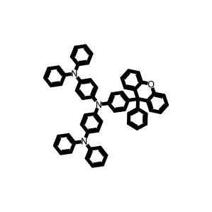 c1ccc(N(c2ccccc2)c2ccc(N(c3ccc(N(c4ccccc4)c4ccccc4)cc3)c3ccc(C4(c5ccccc5)c5ccccc5Oc5ccccc54)cc3)cc2)cc1